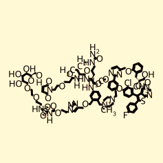 COc1ccccc1-c1nccc(COc2ccccc2C[C@@H](Oc2ncnc3sc(-c4ccc(F)cc4)c(-c4ccc(OCCN5CC[N+](C)(Cc6ccc(NC(=O)[C@H](CCCNC(N)=O)NC(=O)[C@@H](NC(=O)CCOCCN7C(=O)C=CC7=O)C(C)C)cc6COCc6cn(CCOC(=O)NS(=O)(=O)NCCOCCO[C@@H]7O[C@H](CO)[C@@H](O)[C@H](O)[C@H]7O)nn6)CC5)c(Cl)c4C)c23)C(=O)O)n1